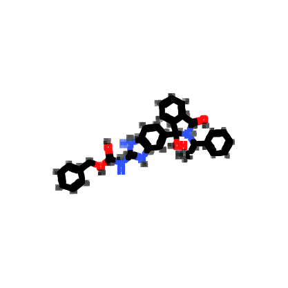 CC(c1ccccc1)N1C(=O)c2ccccc2C1(O)c1ccc2[nH]c(NC(=O)OCc3ccccc3)nc2c1